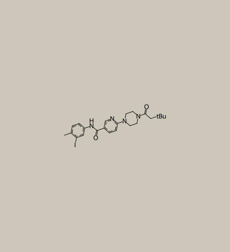 Cc1ccc(NC(=O)c2ccc(N3CCN(C(=O)CC(C)(C)C)CC3)nc2)cc1I